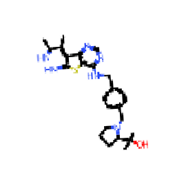 CC(=N)/C(C)=C1\C(=N)Sc2c(NCc3ccc(CN4CCCC4C(C)(C)O)cc3)ncnc21